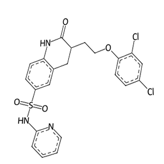 O=C1Nc2ccc(S(=O)(=O)Nc3ccccn3)cc2CC1CCOc1ccc(Cl)cc1Cl